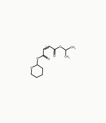 CC(C)OC(=O)/C=C\C(=O)OC1CCCCO1